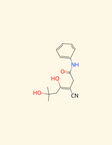 CC(C)(O)CC(O)=C(C#N)CC(=O)Nc1ccccc1